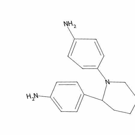 Nc1ccc(C2CCCCN2c2ccc(N)cc2)cc1